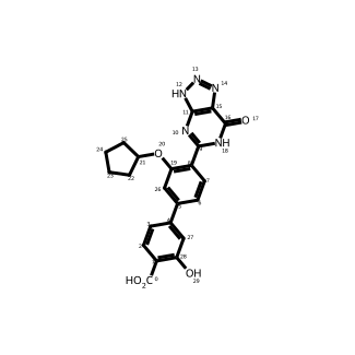 O=C(O)c1ccc(-c2ccc(-c3nc4[nH]nnc4c(=O)[nH]3)c(OC3CCCC3)c2)cc1O